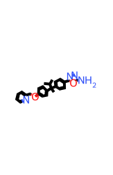 CC(C)C(C)(c1ccc(OCc2ccccn2)cc1)c1ccc(-c2nnc(N)o2)cc1